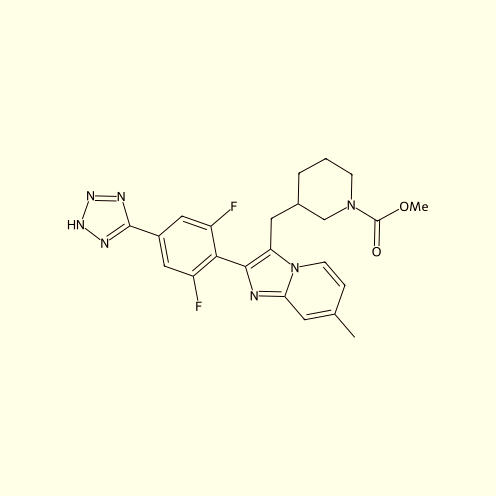 COC(=O)N1CCCC(Cc2c(-c3c(F)cc(-c4nn[nH]n4)cc3F)nc3cc(C)ccn23)C1